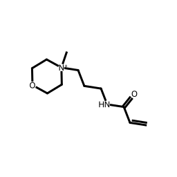 C=CC(=O)NCCC[N+]1(C)CCOCC1